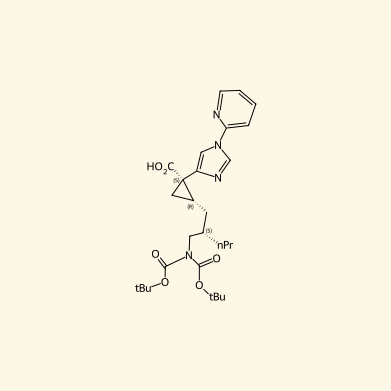 CCC[C@@H](C[C@@H]1C[C@@]1(C(=O)O)c1cn(-c2ccccn2)cn1)CN(C(=O)OC(C)(C)C)C(=O)OC(C)(C)C